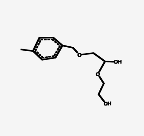 Cc1ccc(COCC(O)OCCO)cc1